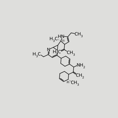 C=C(C(N)C1=CCC(C2=CC(CC)=NC3C2C3[C@@]2(C)NC(CC)=CC2C(=C)C)CC1)C1CCC=C[C@H]1C